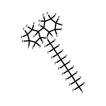 FC(F)(F)C(F)(F)C(F)(F)C(F)(F)C(F)(F)C(F)(F)C(F)(F)C(F)(F)C(F)(F)N1C2(F)C(F)(F)C(F)(F)C(F)(F)C(F)(F)C2(F)C2(F)C(F)(F)C(F)(F)C(F)(F)C(F)(F)C12F